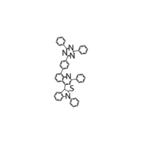 c1ccc(-c2nc(-c3ccccc3)nc(-c3ccc(-c4cccc5c6c(c(-c7ccccc7)nc45)SC4C6c5ccccc5N4c4ccccc4)cc3)n2)cc1